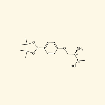 C[C@@H](O)[C@H](N)COc1ccc(B2OC(C)(C)C(C)(C)O2)cc1